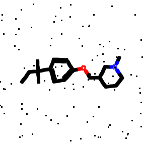 CCC(C)(C)c1ccc(OCC2CCCN(C)C2)cc1